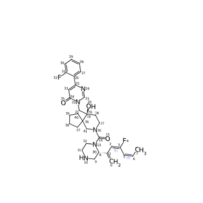 C=C(/C=C(F)\C=C/C)[C@@H]1CNCCN1C(=O)N1CC[C@@](O)(Cn2cnc(-c3ccccc3F)cc2=O)C2(CCCC2)C1